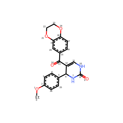 CCOc1ccc(C2NC(=O)NC=C2C(=O)c2ccc3c(c2)OCCO3)cc1